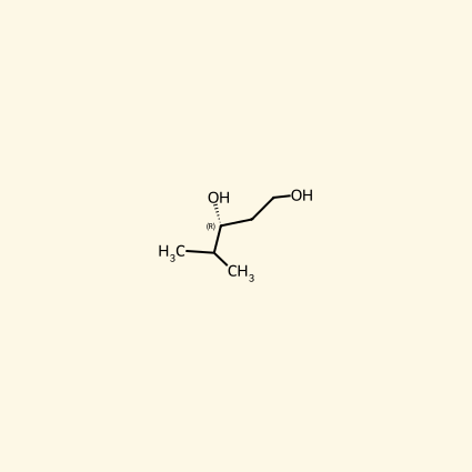 CC(C)[C@H](O)CCO